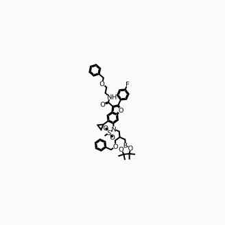 CC1(C)OB(CC(COCc2ccccc2)CN(c2cc3oc(-c4ccc(F)cc4)c(C(=O)NCCOCc4ccccc4)c3cc2C2CC2)S(C)(=O)=O)OC1(C)C